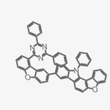 c1ccc(-c2nc(-c3ccccc3)nc(-c3cccc4oc5ccc(-c6ccc7c(c6)c6ccc8oc9ccccc9c8c6n7-c6ccccc6)cc5c34)n2)cc1